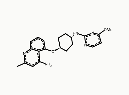 COc1ccnc(N[C@H]2CC[C@H](Oc3cccc4nc(C)cc(N)c34)CC2)n1